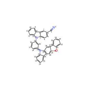 N#Cc1ccc2c(c1)c1ccccc1n2-c1cccc(-n2c3ccccc3c3cc4oc5ccccc5c4cc32)c1